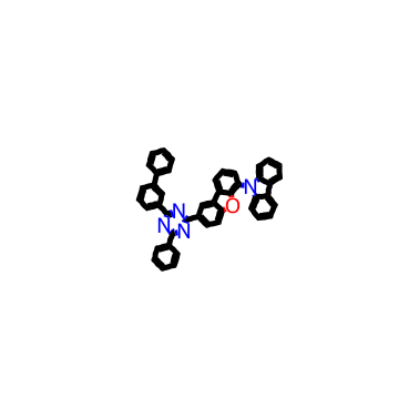 c1ccc(-c2cccc(-c3nc(-c4ccccc4)nc(-c4ccc5oc6c(-n7c8ccccc8c8ccccc87)cccc6c5c4)n3)c2)cc1